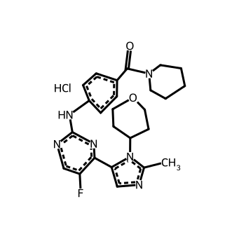 Cc1ncc(-c2nc(Nc3ccc(C(=O)N4CCCCC4)cc3)ncc2F)n1C1CCOCC1.Cl